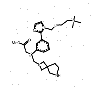 COC(=O)C[C@H](CN1CC2(CCNC2)C1)c1cccc(-c2nccn2COCC[Si](C)(C)C)c1